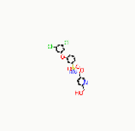 O=C(NS(=O)(=O)c1cccc(Oc2cc(Cl)cc(Cl)c2)c1)c1ccc(CO)nc1